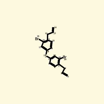 C=CCc1ccc(Sc2ccc(CC=C)c(Br)c2)cc1Br